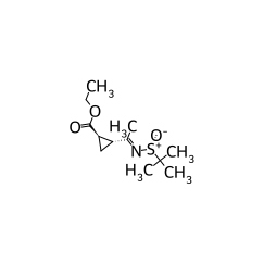 CCOC(=O)[C@@H]1C[C@H]1/C(C)=N/[S@+]([O-])C(C)(C)C